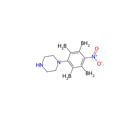 Bc1c(B)c([N+](=O)[O-])c(B)c(B)c1N1CCNCC1